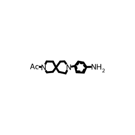 CC(=O)N1CCC2(CC1)CCN(c1ccc(N)cc1)CC2